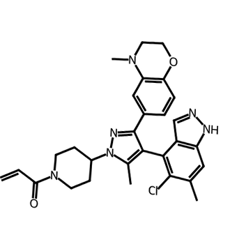 C=CC(=O)N1CCC(n2nc(-c3ccc4c(c3)N(C)CCO4)c(-c3c(Cl)c(C)cc4[nH]ncc34)c2C)CC1